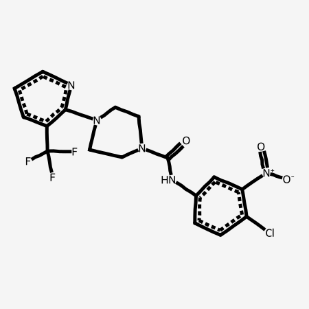 O=C(Nc1ccc(Cl)c([N+](=O)[O-])c1)N1CCN(c2ncccc2C(F)(F)F)CC1